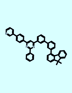 CC1(C)c2ccccc2-c2c(-c3cccc(-c4cccc(-c5cc(-c6ccc(-c7cccnc7)cc6)nc(-c6ccccc6)n5)c4)c3)cccc21